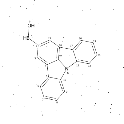 OBc1cc2c3ccccc3n3c4ccccc4c(c1)c23